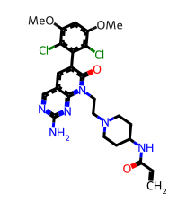 C=CC(=O)NC1CCN(CCn2c(=O)c(-c3c(Cl)c(OC)cc(OC)c3Cl)cc3cnc(N)nc32)CC1